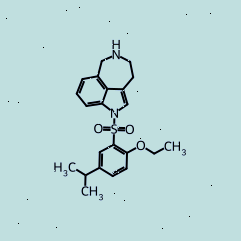 CCOc1ccc(C(C)C)cc1S(=O)(=O)n1cc2c3c(cccc31)CNCC2